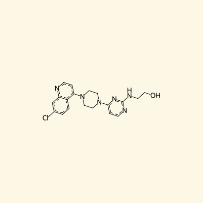 OCCNc1nccc(N2CCN(c3ccnc4cc(Cl)ccc34)CC2)n1